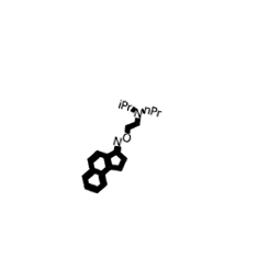 CCCN(CCON=C1CCc2c1ccc1ccccc21)C(C)C